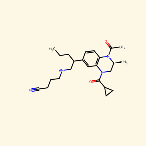 CCCC(CNCCCC#N)c1ccc2c(c1)N(C(=O)C1CC1)C[C@H](C)N2C(C)=O